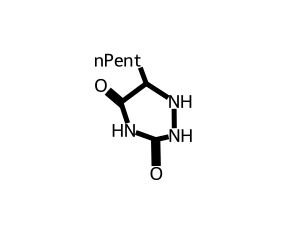 CCCCCC1NNC(=O)NC1=O